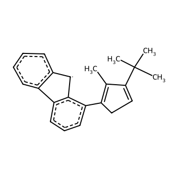 CC1=C(c2cccc3c2[CH]c2ccccc2-3)CC=C1C(C)(C)C